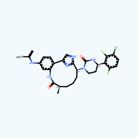 C=C(Nc1ccc2c(c1)NC(=O)[C@H](C)CCC[C@H](N1CC[C@H](c3c(F)ccc(Cl)c3F)NC1=O)c1nc-2c[nH]1)OC